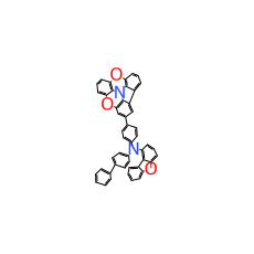 c1ccc(-c2ccc(N(c3ccc(-c4cc5c6c(c4)c4cccc7c4n6-c4c(cccc4O5)O7)cc3)c3cccc4oc5ccccc5c34)cc2)cc1